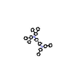 c1ccc(-c2ccc(N(c3ccc(-c4ccccc4)cc3)c3ccc(-c4ccc(N(c5ccc(-c6ccccc6)c(-c6ccccc6)c5)c5ccc(-c6ccccc6)c(-c6ccccc6)c5)cc4)cc3)cc2)cc1